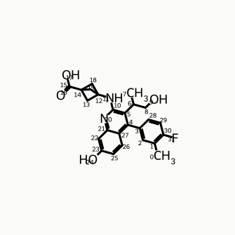 Cc1cc(-c2c(C(C)CO)c(NC34CC(C(=O)O)(C3)C4)nc3cc(O)ccc23)ccc1F